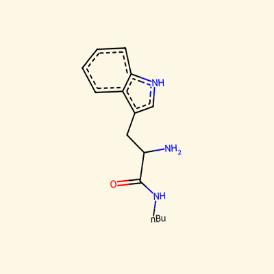 CCCCNC(=O)C(N)Cc1c[nH]c2ccccc12